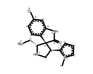 Cn1cccc1[C@H]1CN[C@H](CC(C)(C)C)[C@]12C(=O)Nc1cc(Cl)ccc12